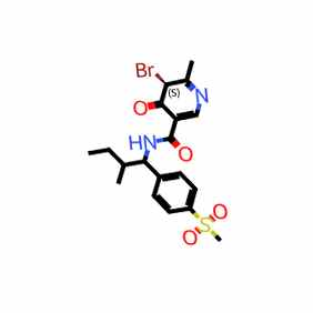 CCC(C)C(NC(=O)C1=CN=C(C)[C@H](Br)C1=O)c1ccc(S(C)(=O)=O)cc1